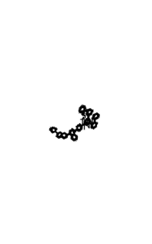 c1ccc(-c2ccc3ccc(-c4ccc(-c5ccc(-c6nc(-c7ccccc7-c7ccccc7)nc(-c7cccc8c7sc7ccccc78)n6)cc5)c5ccccc45)cc3c2)cc1